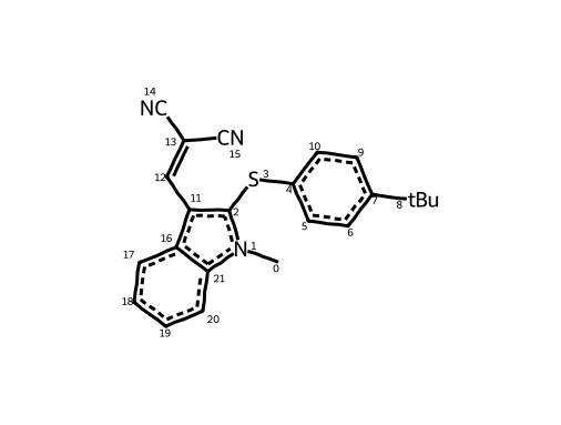 Cn1c(Sc2ccc(C(C)(C)C)cc2)c(C=C(C#N)C#N)c2ccccc21